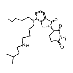 CCCCCN(CCCCNCCC(C)C)c1cccc2c1CN(C1CCC(=O)NC1=O)C2=O